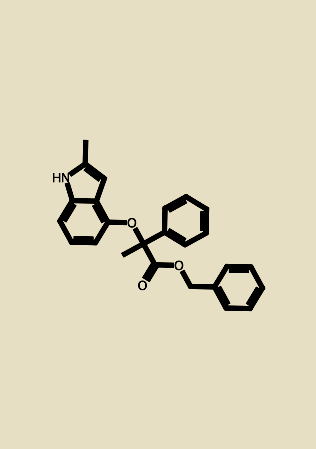 Cc1cc2c(OC(C)(C(=O)OCc3ccccc3)c3ccccc3)cccc2[nH]1